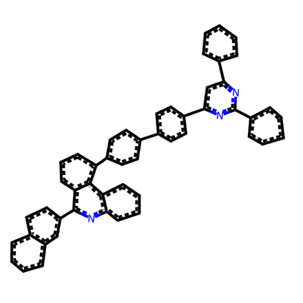 c1ccc(-c2cc(-c3ccc(-c4ccc(-c5cccc6c(-c7ccc8ccccc8c7)nc7ccccc7c56)cc4)cc3)nc(-c3ccccc3)n2)cc1